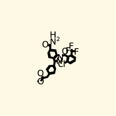 COC(=O)Cc1ccc(-c2nn(C(=O)c3c(Cl)cccc3C(F)(F)F)c3cc(C(N)=O)ccc23)cc1